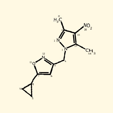 Cc1nn(Cc2cc(C3CC3)on2)c(C)c1[N+](=O)[O-]